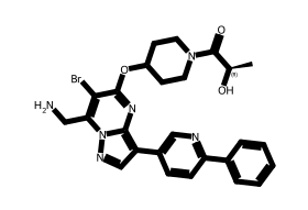 C[C@@H](O)C(=O)N1CCC(Oc2nc3c(-c4ccc(-c5ccccc5)nc4)cnn3c(CN)c2Br)CC1